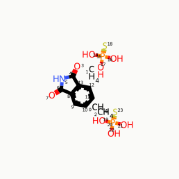 C.C.C.O=C1NC(=O)c2ccccc21.OP(O)(O)=S.OP(O)(O)=S